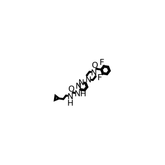 O=C(NCCC1CC1)Nc1ccc(N2CCN(C(=O)c3c(F)cccc3F)CC2)nn1